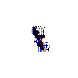 COc1ccc(CN2CCN(C3CC4(CCN(c5ccc(C(=O)NS(=O)(=O)c6cc([N+](=O)[O-])c(NC[C@H]7CC[C@](C)(O)CC7)c7[nH]cnc67)c(Oc6cnc7[nH]ccc7c6)c5)CC4)C3)[C@H](c3ccccc3C(C)C)C2)cc1